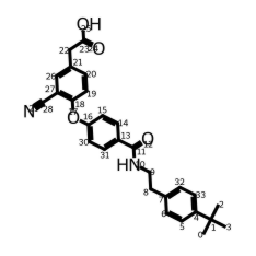 CC(C)(C)c1ccc(CCNC(=O)c2ccc(Oc3ccc(CC(=O)O)cc3C#N)cc2)cc1